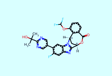 CC(C)(O)c1ncc(-c2cc3c(cc2F)nc2n3[C@@H]3C[C@H]2OC(=O)c2cccc(OC(F)F)c23)cn1